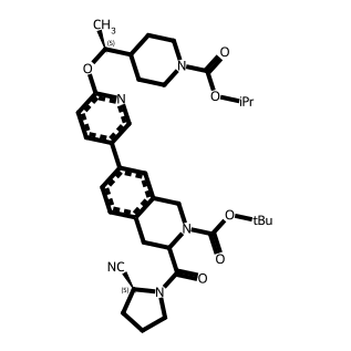 CC(C)OC(=O)N1CCC([C@H](C)Oc2ccc(-c3ccc4c(c3)CN(C(=O)OC(C)(C)C)C(C(=O)N3CCC[C@H]3C#N)C4)cn2)CC1